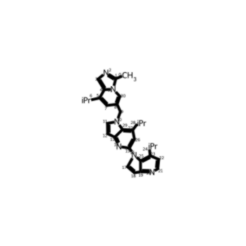 Cc1ncc2c(C(C)C)cc(Cn3ccc4nc(-n5ccc6nccc(C(C)C)c65)cc(C(C)C)c43)cn12